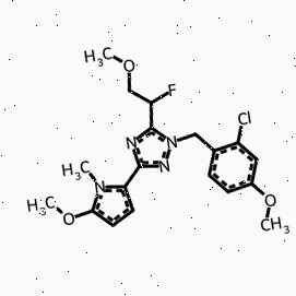 COCC(F)c1nc(-c2ccc(OC)n2C)nn1Cc1ccc(OC)cc1Cl